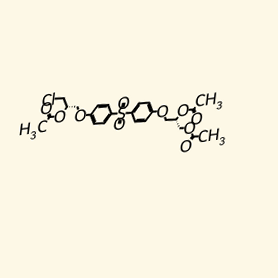 CC(=O)OC[C@H](COc1ccc(S(=O)(=O)c2ccc(OC[C@@H](CCl)OC(C)=O)cc2)cc1)OC(C)=O